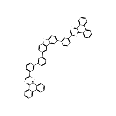 c1cc(-c2cccc(-c3cnc4c5ccccc5c5ccccc5c4n3)c2)cc(-c2ccc3sc4ccc(-c5cccc(-c6cnc7c8ccccc8c8ccccc8c7n6)c5)cc4c3c2)c1